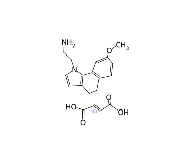 COc1ccc2c(c1)-c1c(ccn1CCN)CC2.O=C(O)/C=C/C(=O)O